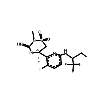 CCC(Nc1ccc(F)c([C@]2(C)CS(=O)(=O)N(C)C(=N)N2)n1)C(F)(F)F